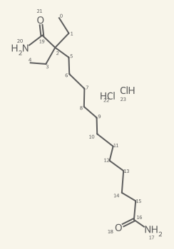 CCC(CC)(CCCCCCCCCCCC(N)=O)C(N)=O.Cl.Cl